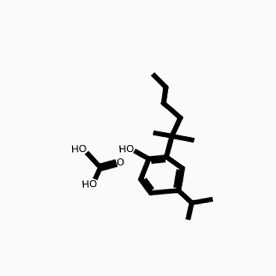 CCCCC(C)(C)c1cc(C(C)C)ccc1O.O=C(O)O